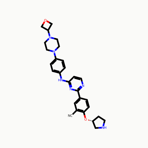 N#Cc1cc(-c2nccc(Nc3ccc(N4CCN(C5COC5)CC4)cc3)n2)ccc1O[C@@H]1CCNC1